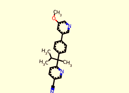 COc1cncc(-c2ccc(C(C)(c3ccc(C#N)cn3)C(C)C)cc2)c1